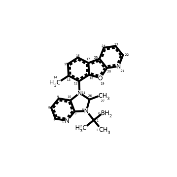 BC(C)(C)N1c2ncccc2N(c2c(C)ccc3c2oc2ncccc23)C1C